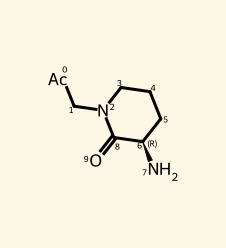 CC(=O)CN1CCC[C@@H](N)C1=O